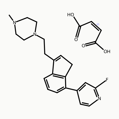 CN1CCN(CCC2=CCc3c2cccc3-c2ccnc(F)c2)CC1.O=C(O)/C=C\C(=O)O